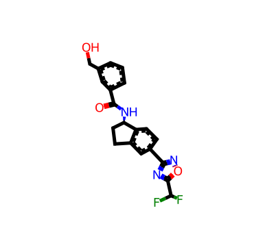 O=C(N[C@@H]1CCc2cc(-c3noc(C(F)F)n3)ccc21)c1cccc(CO)c1